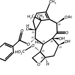 CC(=O)O[C@H]1C(=O)[C@@]2(O)[C@H]([C@H](OC(=O)c3ccccc3)[C@]3(O)CCC(C)=C1C3(C)C)[C@]1(OC(=O)O)CO[C@@H]1C[C@@H]2O